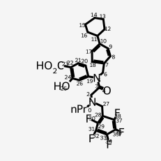 CCCN(CC(=O)N(Cc1ccc(C2CCCCC2)cc1)c1ccc(C(=O)O)c(O)c1)Cc1c(F)c(F)c(F)c(F)c1F